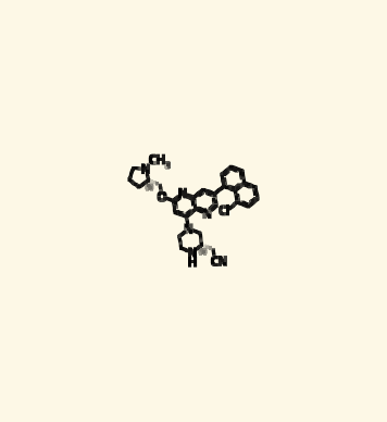 CN1CCC[C@H]1COc1cc(N2CCN[C@@H](CC#N)C2)c2ncc(-c3cccc4cccc(Cl)c34)cc2n1